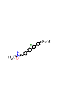 C=CC(=O)NCCCC1CCC(C2CCC(c3ccc(C4CCC(CCCCC)CC4)cc3F)CC2)CC1